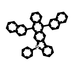 c1ccc(-p2c3ccccc3c3cc4c(-c5ccc6ccccc6c5)c5ccccc5c(-c5ccc6ccccc6c5)c4cc32)cc1